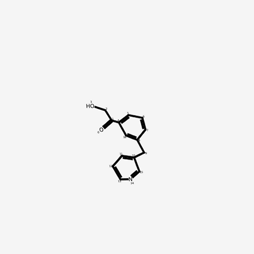 O=C(CO)c1cccc(Cc2cccnc2)c1